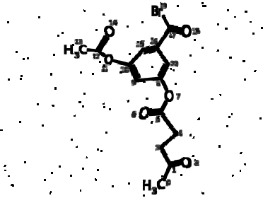 CC(=O)CCC(=O)Oc1cc(OC(C)=O)cc(C(=O)Br)c1